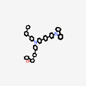 c1ccc(-c2cccc(-c3ccc(N(c4ccc(-c5ccc(-c6ccc(-n7c8ccccc8c8ccccc87)cc6)cc5)cc4)c4ccc(-c5ccc(-c6cccc7oc8ccccc8c67)cc5)cc4)cc3)c2)cc1